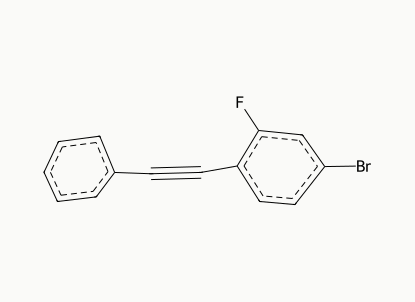 Fc1cc(Br)ccc1C#Cc1ccccc1